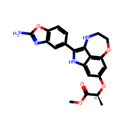 COC(=O)[C@H](C)Oc1cc2c3c(c(-c4ccc5oc(N)nc5c4)[nH]c3c1)NCCO2